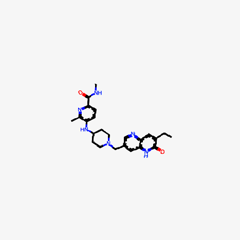 CCc1cc2ncc(CN3CCC(Nc4ccc(C(=O)NC)nc4C)CC3)cc2[nH]c1=O